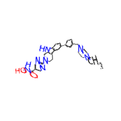 CN1CCN(Cc2ccc(-c3ccc4[nH]c5c(c4c3)CCN(c3ncc(C(=O)NO)cn3)C5)cc2)CC1